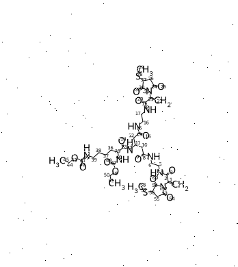 C=C(C(=O)NCCNC(=O)CC(CC(=O)NCCNC(=O)C(=C)N1C(=O)CC(SC)C1=O)NC(=O)C(CCCCNC(=O)OCC)NC(=O)OCC)N1C(=O)CC(SC)C1=O